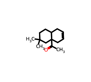 CC(=O)C12CC=CCC1CCC(C)(C)C2